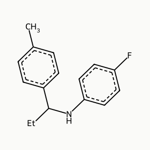 CCC(Nc1ccc(F)cc1)c1ccc(C)cc1